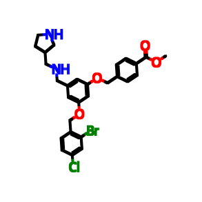 COC(=O)c1ccc(COc2cc(CNCC3CCNC3)cc(OCc3ccc(Cl)cc3Br)c2)cc1